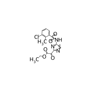 CCOC(=O)C(=O)c1nsc(NS(=O)(=O)c2cccc(Cl)c2C)n1